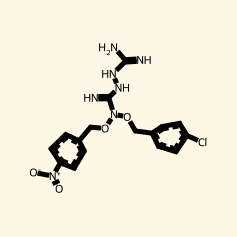 N=C(N)NNC(=N)N(OCc1ccc(Cl)cc1)OCc1ccc([N+](=O)[O-])cc1